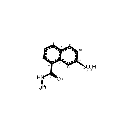 CC(C)NC(=O)c1cccc2ccc(S(=O)(=O)O)cc12